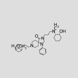 CN(CCCN1CN(c2ccccc2)C2(CCN(CCC3CCC4CC3C4(C)C)CC2)C1=O)[C@H]1CCCCC1O